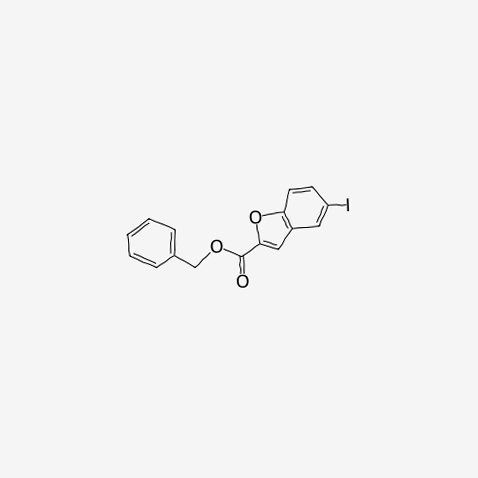 O=C(OCc1ccccc1)c1cc2cc(I)ccc2o1